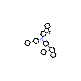 CC1(C)c2ccccc2-c2ccc(N(c3ccc(-c4ccccc4)cc3)c3ccc(-c4ccc5ccccc5c4-c4ccccc4)cc3)cc21